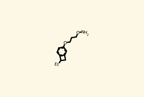 CCC1Cc2cc(OCCCON)ccc21